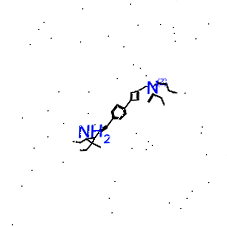 C=C(CC)N(/C=C\CC)CC1=CC(c2ccc(C#CC3C(C)(CC)C3(N)CC)cc2)=C1